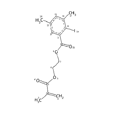 C=C(C)C(=O)OCCOC(=O)c1cc(C)cc(C)c1I